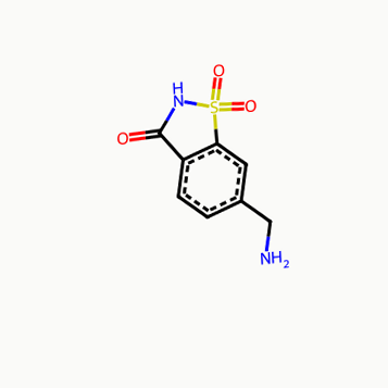 NCc1ccc2c(c1)S(=O)(=O)NC2=O